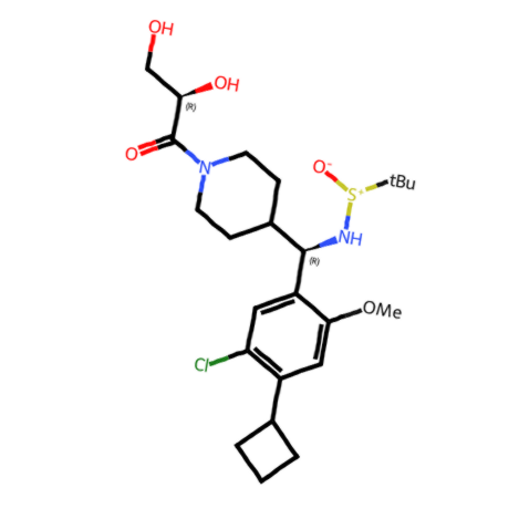 COc1cc(C2CCC2)c(Cl)cc1[C@H](N[S+]([O-])C(C)(C)C)C1CCN(C(=O)[C@H](O)CO)CC1